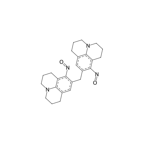 O=Nc1c(Cc2cc3c4c(c2N=O)CCCN4CCC3)cc2c3c1CCCN3CCC2